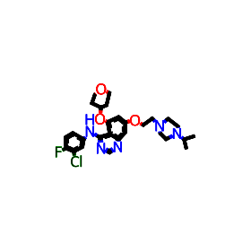 CC(C)N1CCN(CCOc2cc(OC3CCOCC3)c3c(Nc4ccc(F)c(Cl)c4)ncnc3c2)CC1